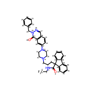 O=C(NCC(F)(F)F)C1(CCCN2CCN(c3ccc4cnn(Cc5ccccc5)c(=O)c4c3)CC2)c2ccccc2-c2ccccc21